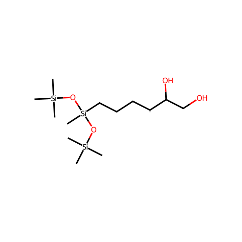 C[Si](C)(C)O[Si](C)(CCC[CH]C(O)CO)O[Si](C)(C)C